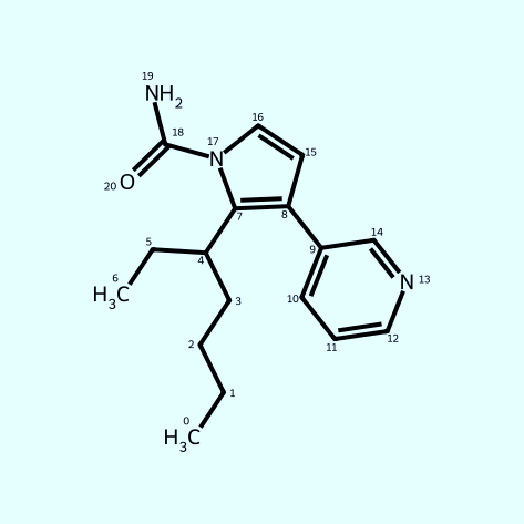 CCCCC(CC)c1c(-c2cccnc2)ccn1C(N)=O